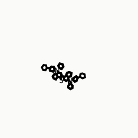 c1ccc(N(c2ccc(C3CCCCC3)cc2)c2cc3c(sc4cc(N(c5ccccc5)c5ccc(C6CCCCC6)cc5)c5ccccc5c43)c3ccccc23)cc1